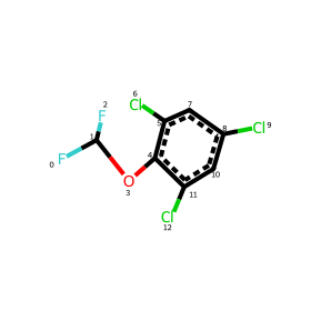 FC(F)Oc1c(Cl)cc(Cl)cc1Cl